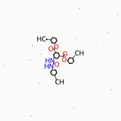 C#Cc1ccc(NC(=O)Nc2cc(C(=O)Oc3cccc(C#C)c3)cc(C(=O)Oc3cccc(C#C)c3)c2)cc1